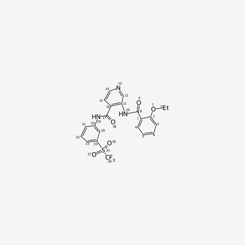 CCOc1ccccc1C(=O)Nc1cnccc1C(=O)Nc1cccc(S(=O)(=O)C(F)(F)F)c1